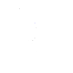 CC(C)(C)c1ccc(C2(NC(=O)C3CC[C@H]4[C@@H]5CCC6NC(=O)C=C[C@]6(C)[C@@H]5CC[C@]34C)CCC(C(C)(C)C)CC2)cc1